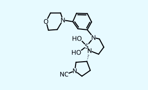 N#CN1CC[C@@H](N2CCCN(c3cccc(N4CCOCC4)c3)S2(O)O)C1